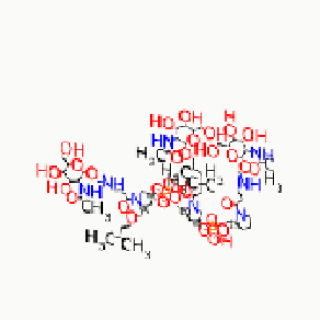 CC(=O)NC1C(OCNCCC(=O)N2CCC[C@H]2COP(=O)(O)O[C@@H]2C[C@@H](COP(=O)(O)O[C@@H]3C[C@@H](COC=CC(C)C)N(C(=O)CCNCOC4OC(CO)C(O)C(O)C4NC(C)=O)C3)N(C(=O)CC(C)(C)CC(C)COC3OC(CO)C(O)C(O)C3NC(C)=O)C2)OC(CO)C(O)C1O